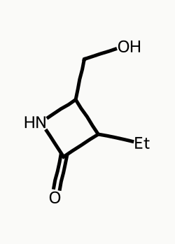 CCC1C(=O)NC1CO